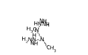 CCC=CCN(CCCCN(C)CCCNC(=N)N)CCCNC(=N)N